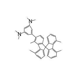 Cc1cccc2c1-c1c(C)cccc1C21c2cccc(C)c2-c2c1ccc(-c1cc(N(C)C)cc(N(C)C)c1)c2C